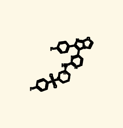 O=S(=O)(c1ccc(F)cc1)N1CCC[C@H](Nc2nccc(-c3c(-c4ccc(F)cc4)nc4occn34)n2)C1